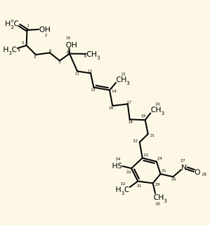 C=C(O)C(C)CCCC(C)(O)CC/C=C(\C)CCCC(C)CCC1=CC(CN=O)C(C)C(C)=C1S